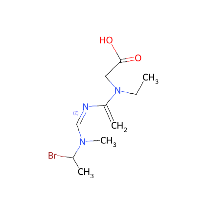 C=C(/N=C\N(C)C(C)Br)N(CC)CC(=O)O